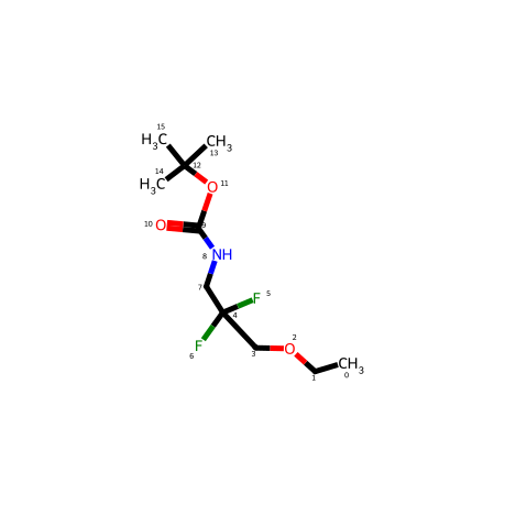 CCOCC(F)(F)CNC(=O)OC(C)(C)C